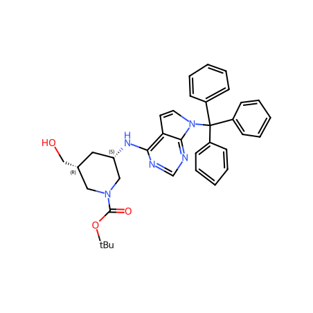 CC(C)(C)OC(=O)N1C[C@H](CO)C[C@H](Nc2ncnc3c2ccn3C(c2ccccc2)(c2ccccc2)c2ccccc2)C1